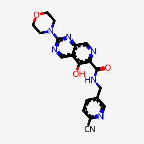 N#Cc1ccc(CNC(=O)c2ncc3nc(N4CCOCC4)ncc3c2O)cn1